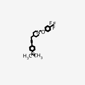 CN(C)c1ccc(C#CCC2CCN(COc3ccc(C(F)(F)F)cc3)CC2)cc1